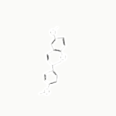 COc1ccc(C2C=Cc3cc(OC)ccc3OC2)cc1